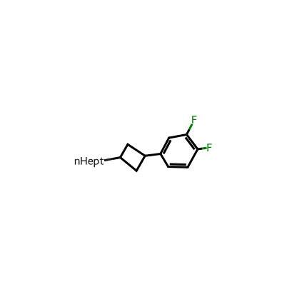 CCCCCCCC1CC(c2ccc(F)c(F)c2)C1